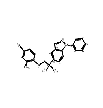 Cc1cc(F)ccc1OCC(O)(c1ccc2c(cnn2-c2ccccc2)c1)C(F)(F)F